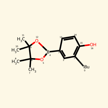 CCC(C)c1cc(B2OC(C)(C)C(C)(C)O2)ccc1O